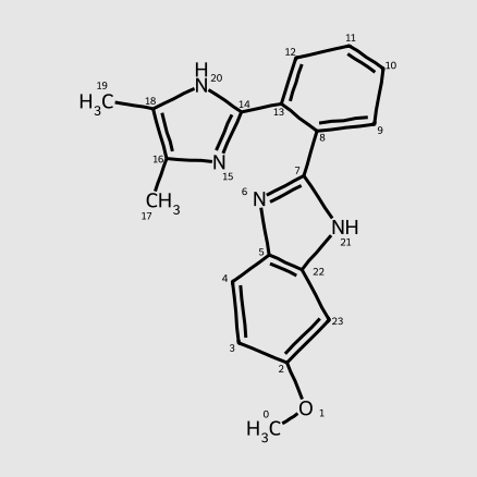 COc1ccc2nc(-c3ccccc3-c3nc(C)c(C)[nH]3)[nH]c2c1